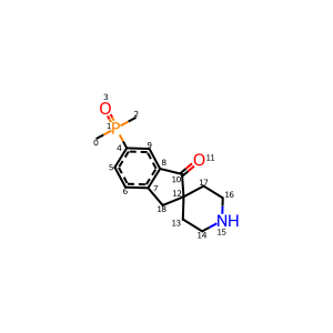 CP(C)(=O)c1ccc2c(c1)C(=O)C1(CCNCC1)C2